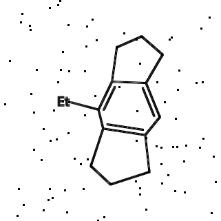 CCc1c2c(cc3c1CCC3)CCC2